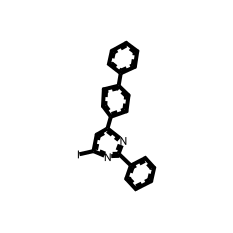 Ic1cc(-c2ccc(-c3ccccc3)cc2)nc(-c2ccccc2)n1